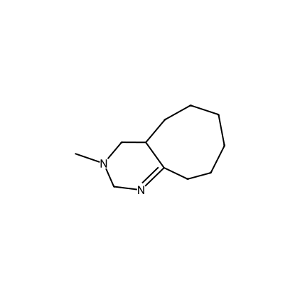 CN1CN=C2CCCCCCC2C1